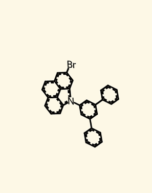 Brc1cc2ccc3cccc4c3c2c(c1)n4-c1cc(-c2ccccc2)cc(-c2ccccc2)c1